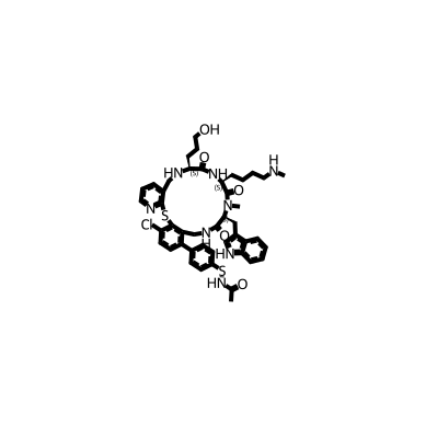 CNCCCC[C@@H]1NC(=O)[C@H](CCCO)NCc2cccnc2Sc2c(Cl)ccc(-c3ccc(SNC(C)=O)cc3)c2CNC(=O)[C@H](Cc2c[nH]c3ccccc23)N(C)C1=O